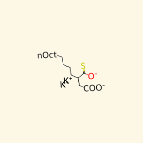 CCCCCCCCCCCCC(CC(=O)[O-])C([O-])=S.[K+].[K+]